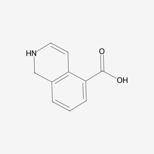 O=C(O)c1cccc2c1C=CNC2